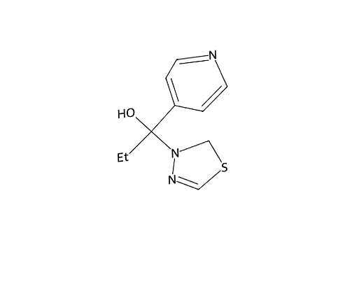 CCC(O)(c1ccncc1)N1CSC=N1